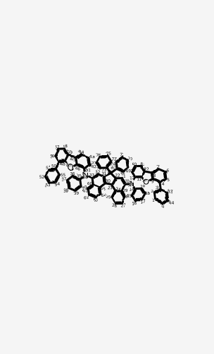 c1ccc(-c2cccc3c2oc2c(N(c4ccccc4)c4cc5c(c6ccccc46)-c4c(cc(N(c6ccccc6)c6cccc7c6oc6c(-c8ccccc8)cccc67)c6ccccc46)C5(c4ccccc4)c4ccccc4)cccc23)cc1